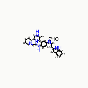 C[C@H]1CN(/C(=C\N2CCCCC2)Nc2ccc(N(C=O)CCc3cc4ccccc4[nH]3)cc2)CCN1